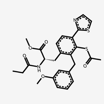 CCC(=O)N[C@@H](Cc1ccc(-c2nccs2)c(SC(C)=O)c1Cc1cccc(OC)c1)C(=O)OC